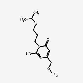 COCc1cc(O)n(CCCOC(C)C)c(=O)c1